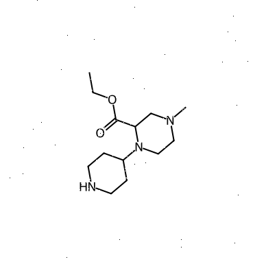 CCOC(=O)C1CN(C)CCN1C1CCNCC1